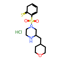 Cl.O=S(=O)(C1=CC=CCC1=S)N1CCNC(CC2CCOCC2)C1